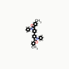 Cc1ccc2c(c1)OC1C2c2ccc(-c3ccc4c5c6ccc(C)cc6oc5n(-c5ccccc5)c4c3)cc2N1c1ccccc1